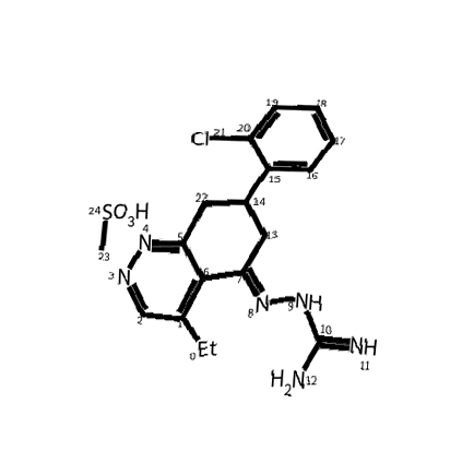 CCc1cnnc2c1C(=NNC(=N)N)CC(c1ccccc1Cl)C2.CS(=O)(=O)O